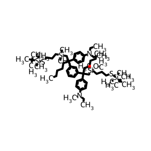 CCCCCC(C[Si](C)(C)CCCS[Si](C)(C)C(C)(C)C)(c1ccc(N(CC)CC)cc1)c1cccc(C(CCCCC)(C[Si](C)(CCCS[Si](C)(C)C(C)(C)C)OC)c2ccc(N(C)CC)cc2)c1